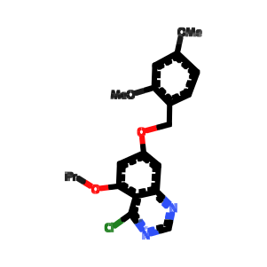 COc1ccc(COc2cc(OC(C)C)c3c(Cl)ncnc3c2)c(OC)c1